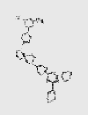 N#Cc1cc(C#N)cc(-c2ccc(-c3cccc4cc(-c5ccc(-c6nc(-c7ccccc7)nc(-c7ccccc7)n6)cc5)ccc34)cc2)c1